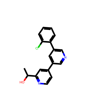 CC(O)c1cc(-c2cncc(-c3cc[c]cc3Cl)c2)ccn1